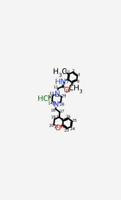 Cc1cccc(C)c1NC(=O)CN1CCN(CCC2CCOc3ccccc32)CC1.Cl